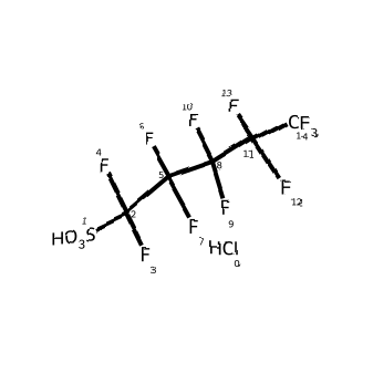 Cl.O=S(=O)(O)C(F)(F)C(F)(F)C(F)(F)C(F)(F)C(F)(F)F